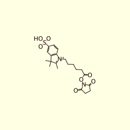 CC1=[N+](CCCCCC(=O)ON2C(=O)CCC2=O)c2ccc(S(=O)(=O)O)cc2C1(C)C